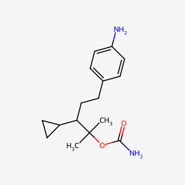 CC(C)(OC(N)=O)C(CCc1ccc(N)cc1)C1CC1